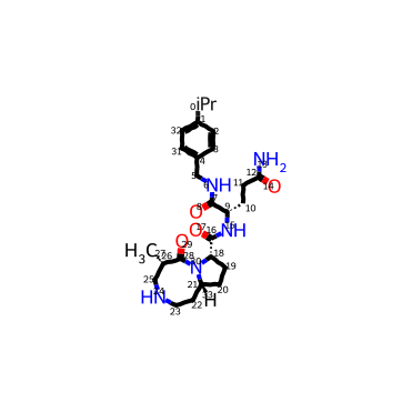 CC(C)c1ccc(CNC(=O)[C@H](CCC(N)=O)NC(=O)[C@@H]2CC[C@@H]3CCNC[C@H](C)C(=O)N32)cc1